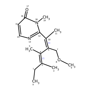 CC/C(C)=C(C)/C(COC)=C(/C)c1nccc(=O)n1C